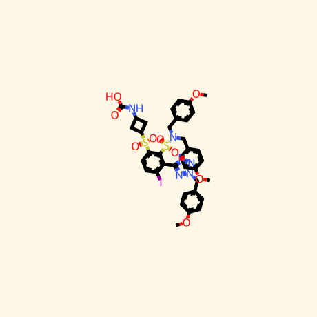 COc1ccc(CN(Cc2ccc(OC)cc2)S(=O)(=O)c2c(S(=O)(=O)C3CC(NC(=O)O)C3)ccc(I)c2-c2nnn(Cc3ccc(OC)cc3)n2)cc1